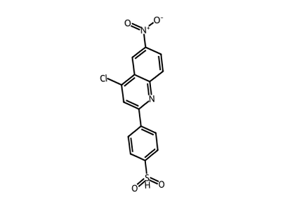 O=[N+]([O-])c1ccc2nc(-c3ccc([SH](=O)=O)cc3)cc(Cl)c2c1